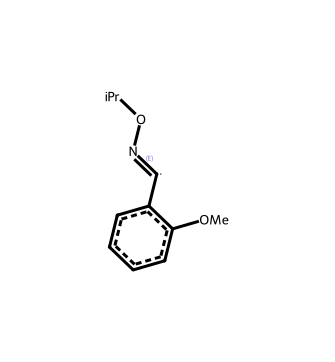 COc1ccccc1/[C]=N/OC(C)C